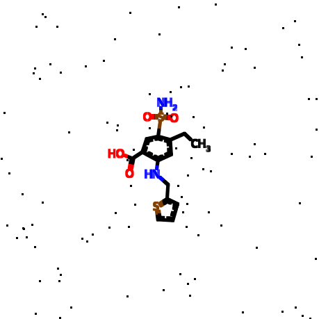 CCc1cc(NCc2cccs2)c(C(=O)O)cc1S(N)(=O)=O